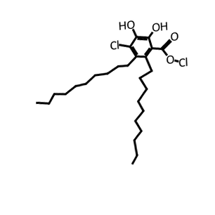 CCCCCCCCCCc1c(Cl)c(O)c(O)c(C(=O)OCl)c1CCCCCCCCCC